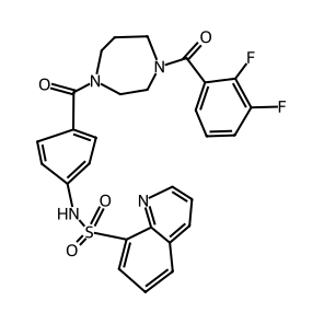 O=C(c1ccc(NS(=O)(=O)c2cccc3cccnc23)cc1)N1CCCN(C(=O)c2cccc(F)c2F)CC1